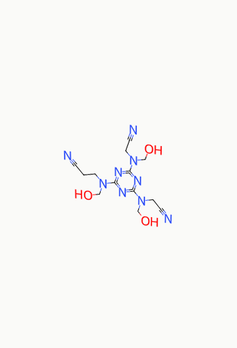 N#CCCN(CO)c1nc(N(CO)CC#N)nc(N(CO)CC#N)n1